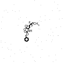 CCC(F)(F)CCC(NC(=O)OCc1ccccc1)C(=O)O